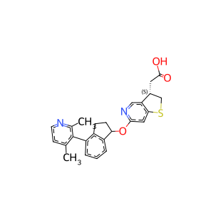 Cc1ccnc(C)c1-c1cccc2c1CCC2Oc1cc2c(cn1)[C@H](CC(=O)O)CS2